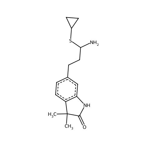 CC1(C)C(=O)Nc2cc(CCC(N)SC3CC3)ccc21